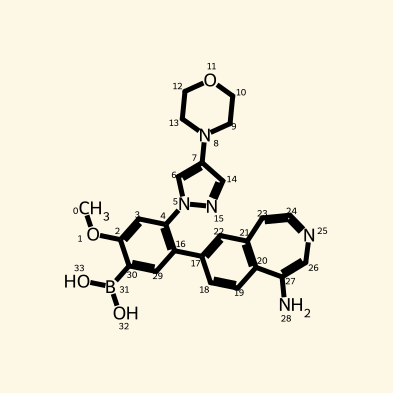 COc1cc(-n2cc(N3CCOCC3)cn2)c(-c2ccc3c(c2)C=C=NC=C3N)cc1B(O)O